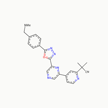 CNCc1ccc(-c2nnc(-c3cncc(-c4ccnc(C(C)(C)C#N)c4)n3)o2)cc1